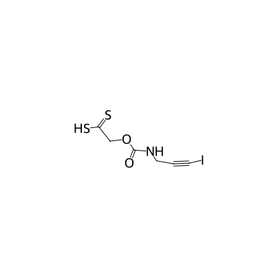 O=C(NCC#CI)OCC(=S)S